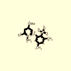 CCc1cc(OC)cc[n+]1N.Cc1cc(C)c(S(=O)(=O)[O-])c(C)c1